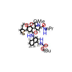 CCCNC(=O)c1ccc(-c2cc3c(cc2C(=O)Nc2ccc(CNC(=O)OC(C)(C)C)c4ccccc24)-c2sccc2CCO3)c(C(=O)OC)n1